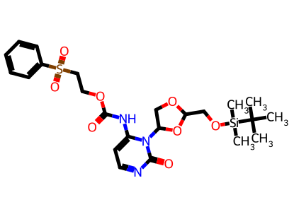 CC(C)(C)[Si](C)(C)OCC1OCC(n2c(NC(=O)OCCS(=O)(=O)c3ccccc3)ccnc2=O)O1